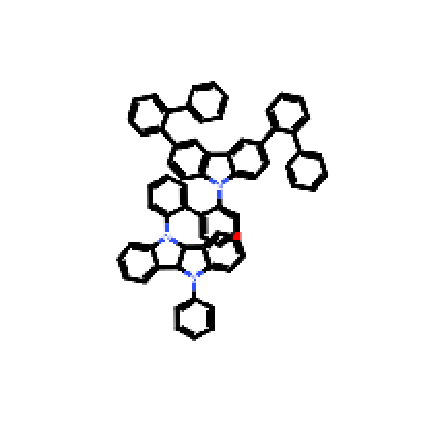 c1ccc(-c2ccccc2-c2ccc3c(c2)c2cc(-c4ccccc4-c4ccccc4)ccc2n3-c2ccccc2-c2ccccc2N2c3ccccc3C3C2c2ccccc2N3c2ccccc2)cc1